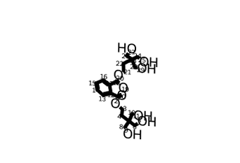 O=C(OCCC(CO)(CO)CO)c1ccccc1C(=O)OCCC(CO)(CO)CO